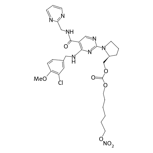 COc1ccc(CNc2nc(N3CCC[C@H]3COC(=O)OCCCCCCO[N+](=O)[O-])ncc2C(=O)NCc2ncccn2)cc1Cl